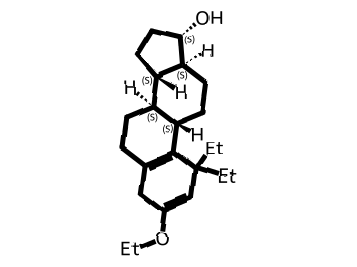 CCOC1=CC(CC)(CC)C2=C(CC[C@H]3[C@@H]4CC[C@H](O)[C@H]4CC[C@H]23)C1